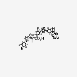 Cc1cc(-n2cnc(C(=O)NC(Cc3ccc(-c4noc(-c5ccc(NC(=O)OC(C)(C)C)cc5)n4)c(F)c3)C(=O)O)c2)ccc1F